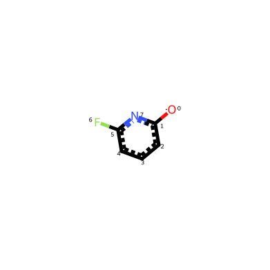 [O]c1cccc(F)n1